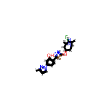 Cc1ccn(-c2ccc(-c3nnc(OC4CC5NC(C)(C4)C(F)C5C)s3)c(O)c2)n1